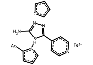 CC(=O)c1ccc[c-]1[SH]1C(N)=NN=C1c1ccncc1.[Fe+2].c1cc[cH-]c1